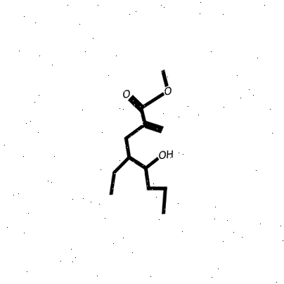 C=C(CC(CC)C(O)CCC)C(=O)OC